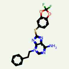 Nc1ncn(CCc2ccccc2)c2nc(Sc3ccc4c(c3)OC(F)(F)O4)nc1-2